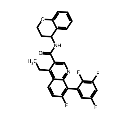 CCc1c(C(=O)NC2CCOc3ccccc32)cnc2c(-c3cc(F)cc(F)c3F)c(F)ccc12